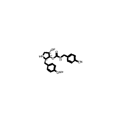 COc1ccc(C[C@H]2NC[C@H](O)[C@H]2OC(=O)NCc2ccc(C#N)cc2)cc1